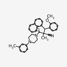 COc1ccccc1C(c1cccc2ccccc12)C(C)(C#N)C(=O)N1CCN(c2cccc(C)c2)CC1